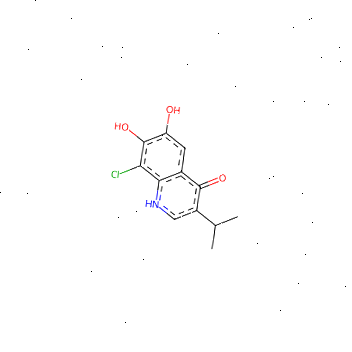 CC(C)c1c[nH]c2c(Cl)c(O)c(O)cc2c1=O